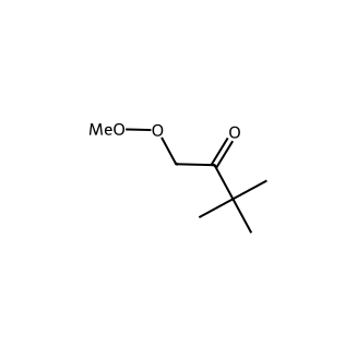 COOCC(=O)C(C)(C)C